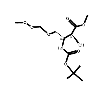 COOCOC[C@@H](NC(=O)OC(C)(C)C)[C@H](O)C(=O)OC